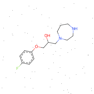 OC(COc1ccc(F)cc1)CN1CCCNCC1